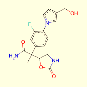 CC(C(N)=O)(c1ccc(-n2ccc(CO)c2)c(F)c1)C1CNC(=O)O1